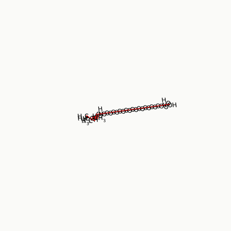 CC(C)CCC[C@@H](C)[C@H]1CC[C@H]2[C@@H]3CC=C4C[C@@H](OC(=O)NCCOCCOCCOCCOCCOCCOCCOCCOCCOCCOCCOCCOCCOCCOCCOCCOCCOCCOCCOCCNC(=O)CCC(=O)O)CC[C@]4(C)[C@H]3CC[C@]12C